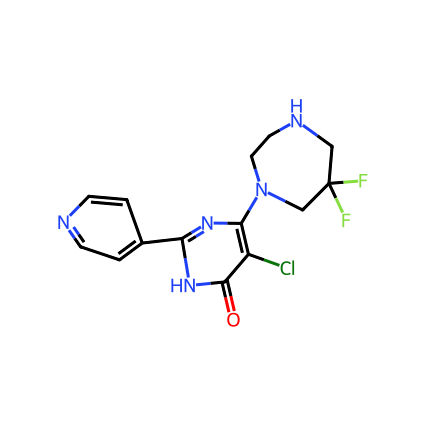 O=c1[nH]c(-c2ccncc2)nc(N2CCNCC(F)(F)C2)c1Cl